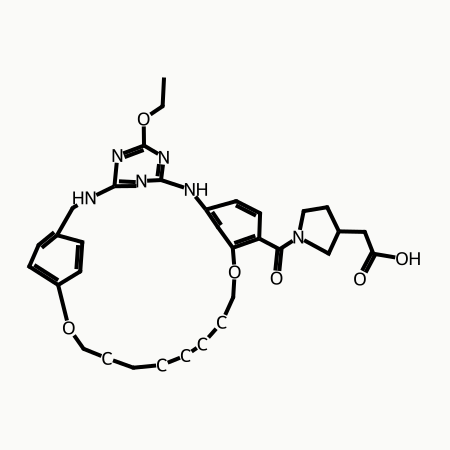 CCOc1nc2nc(n1)Nc1ccc(C(=O)N3CCC(CC(=O)O)C3)c(c1)OCCCCCCCCOc1ccc(cc1)CN2